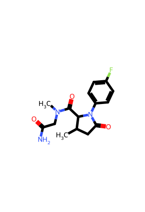 CC1CC(=O)N(c2ccc(F)cc2)C1C(=O)N(C)CC(N)=O